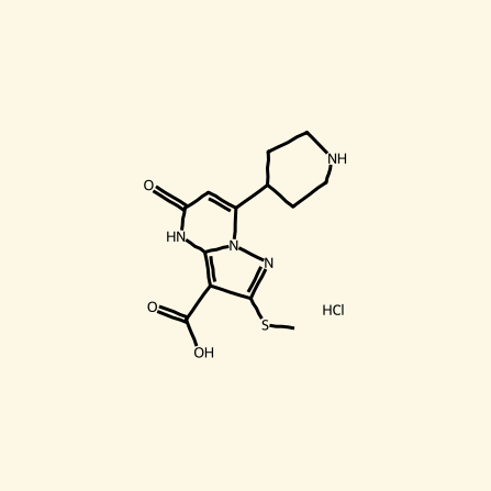 CSc1nn2c(C3CCNCC3)cc(=O)[nH]c2c1C(=O)O.Cl